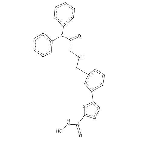 O=C(NO)c1ccc(-c2cccc(CNCC(=O)N(c3ccccc3)c3ccccc3)c2)s1